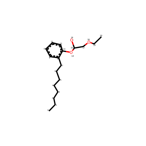 CCCCCCCCc1ccccc1OC([O])COCC